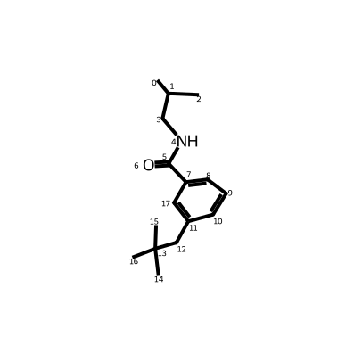 CC(C)CNC(=O)c1cccc(CC(C)(C)C)c1